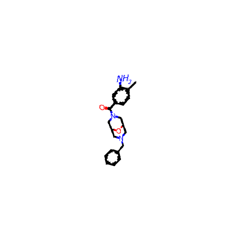 Cc1ccc(C(=O)N2CC3CN(Cc4ccccc4)CC(C2)O3)cc1N